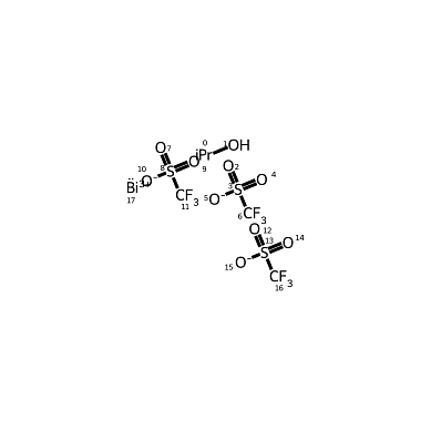 CC(C)O.O=S(=O)([O-])C(F)(F)F.O=S(=O)([O-])C(F)(F)F.O=S(=O)([O-])C(F)(F)F.[Bi+3]